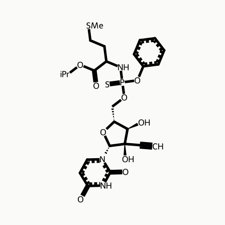 C#C[C@@]1(O)[C@H](O)[C@@H](COP(=S)(NC(CCSC)C(=O)OC(C)C)Oc2ccccc2)O[C@H]1n1ccc(=O)[nH]c1=O